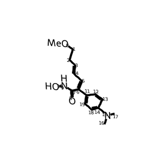 COCCC=CC=C(C(=O)NO)c1ccc(N(C)C)cc1